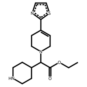 CCOC(=O)C(C1CCNCC1)N1CC=C(c2nccs2)CC1